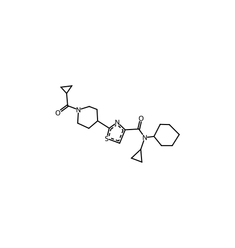 O=C(C1CC1)N1CCC(c2nc(C(=O)N(C3CCCCC3)C3CC3)cs2)CC1